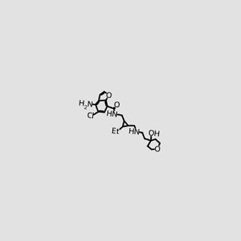 CCC1C(CNCCC2(O)CCOCC2)C1CNC(=O)c1cc(Cl)c(N)c2ccoc12